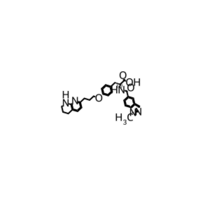 Cn1ncc2cc(C(=O)N[C@@H](Cc3ccc(OCCCc4ccc5c(n4)NCCC5)cc3)C(=O)O)ccc21